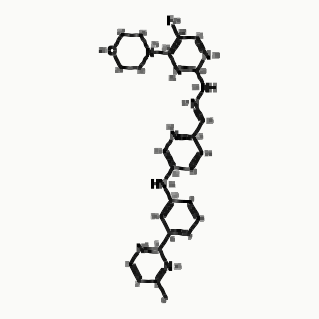 Cc1ccnc(-c2cccc(Nc3ccc(/C=N/Nc4ncc(F)c(N5CCOCC5)n4)nc3)c2)n1